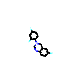 Fc1ccc(N2C=Nc3ccc(F)cc3C2)c(F)c1